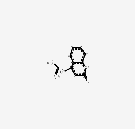 C=CC(=O)O.Cc1cc(=O)oc2ccccc12